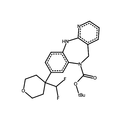 CC(C)(C)OC(=O)N1Cc2cccnc2Nc2ccc(C3(C(F)F)CCOCC3)cc21